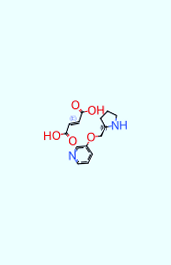 O=C(O)/C=C/C(=O)O.c1cncc(OC[C@H]2CCCN2)c1